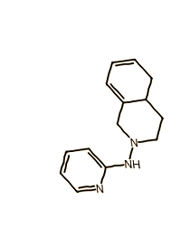 C1=CCC2CCN(Nc3ccccn3)CC2=C1